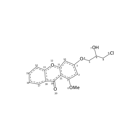 COc1cc(OCC(O)CCl)cc2oc3ccccc3c(=O)c12